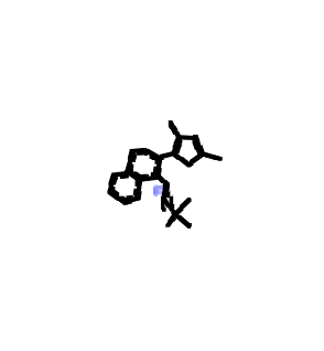 CC1=CC(C)=C(c2ccc3ccccc3c2/C=N/C(C)(C)C)C1